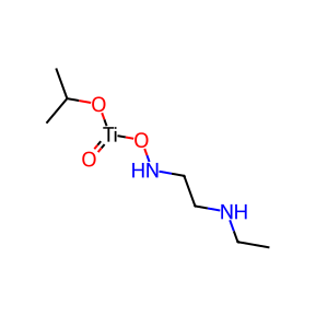 CCNCCN[O][Ti](=[O])[O]C(C)C